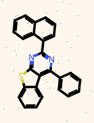 c1ccc(-c2nc(-c3cccc4ccccc34)nc3sc4ccccc4c23)cc1